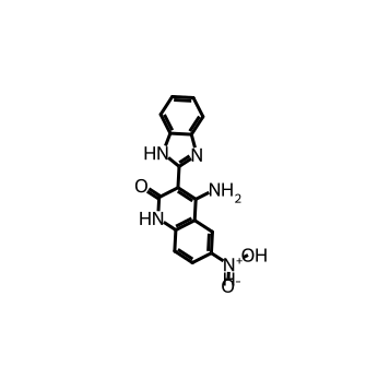 Nc1c(-c2nc3ccccc3[nH]2)c(=O)[nH]c2ccc([NH+]([O-])O)cc12